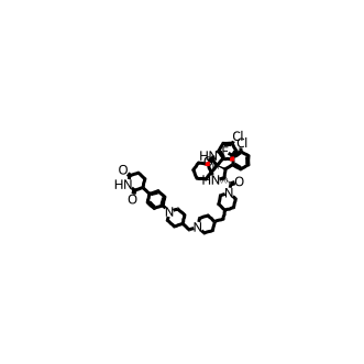 O=C1CCC(c2ccc(N3CCC(CN4CCC(CC5CCN(C(=O)[C@@H]6NC7(CCCCC7)[C@@]7(C(=O)Nc8cc(Cl)ccc87)C6c6cccc(Cl)c6F)CC5)CC4)CC3)cc2)C(=O)N1